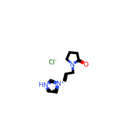 O=C1CCCN1CC=C[n+]1cc[nH]c1.[Cl-]